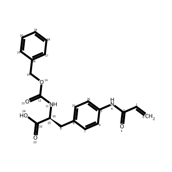 C=CC(=O)Nc1ccc(C[C@H](NC(=O)OCc2ccccc2)C(=O)O)cc1